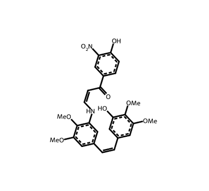 COc1cc(/C=C\c2cc(N/C=C\C(=O)c3ccc(O)c([N+](=O)[O-])c3)c(OC)c(OC)c2)cc(O)c1OC